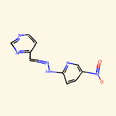 O=[N+]([O-])c1ccc(NN=Cc2ccncn2)nc1